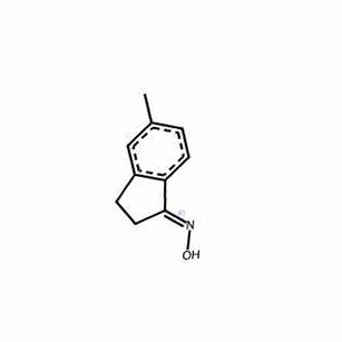 Cc1ccc2c(c1)CC/C2=N\O